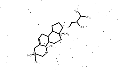 CC(C)C(O)CC[C@H]1CCC2C3CC=C4C[C@@](C)(O)CC[C@]4(C)C3CC[C@@]21C